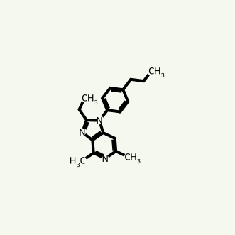 CCCc1ccc(-n2c(CC)nc3c(C)nc(C)cc32)cc1